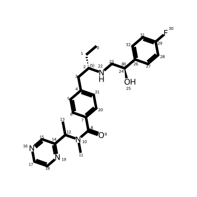 CC[C@@H](Cc1ccc(C(=O)N(C)C(C)c2cnccn2)cc1)NC[C@H](O)c1ccc(F)cc1